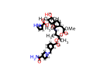 CO[C@H]1CC2C=C[C@@H]3C[C@]2(O[C@H]3[C@H](OC(=O)c2ccc[nH]2)[C@H](C)[C@H](C)O)/C(C)=C/[C@@H](C)[C@@H]([C@@H](C)OC(=O)c2cccc(C[n+]3ccc(C(N)=O)cc3)c2)OC1=O